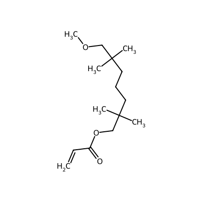 C=CC(=O)OCC(C)(C)CCCC(C)(C)COC